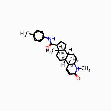 Cc1ccc(NC(=O)C2CC[C@H]3[C@@H]4CCC5N(C)C(=O)C=C[C@]5(C)[C@@H]4CC[C@]23C)cc1